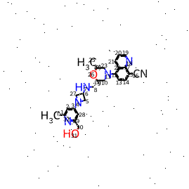 Cc1cc(N2CC(NC[C@H]3CN(c4ccc(C#N)c5ncccc45)C[C@@H](C)O3)C2)cc(CO)n1